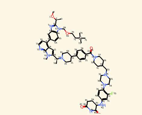 CO[C@@H](C)c1nc2cc(-c3ccnc4c3cc([C@H](C)N3CCC(c5ccc(C(=O)N6CCC(CN7CCN(c8ccc(NC9CCC(=O)NC9=O)cc8F)CC7)CC6)cc5)CC3)n4C)ccc2n1COCC[Si](C)(C)C